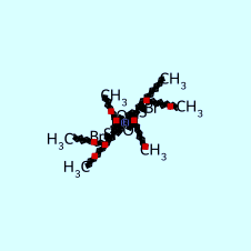 CCCCCCCCCCC(CCCCCCCC)Cc1cc(-c2ccc3c(c2)N(CCCCCCCC)C(=O)/C3=C2/C(=O)N(CCCCCCCC)c3cc(-c4cc(CC(CCCCCCCC)CCCCCCCCCC)c(Br)s4)ccc32)sc1Br